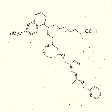 C=C/C(=C\C=C(/C)OCc1ccccc1)CO[C@H]1CC=CC=C(CC[C@@H](CCCCCCC(=O)O)C2CCCc3cc(C(=O)O)ccc32)C1